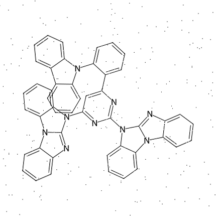 c1ccc(-n2c3ccccc3c3ccccc32)c(-c2cc(-n3c4ccccc4n4c5ccccc5nc34)nc(-n3c4ccccc4n4c5ccccc5nc34)n2)c1